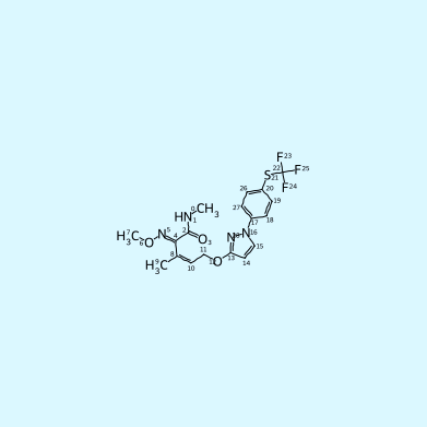 CNC(=O)C(=N/OC)/C(C)=C\COc1ccn(-c2ccc(SC(F)(F)F)cc2)n1